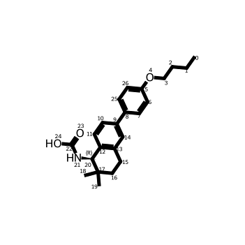 CCCCOc1ccc(-c2ccc3c(c2)CCC(C)(C)[C@H]3NC(=O)O)cc1